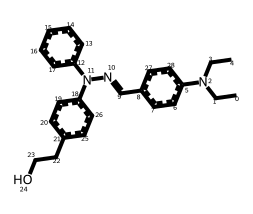 CCN(CC)c1ccc(C=NN(c2ccccc2)c2ccc(CCO)cc2)cc1